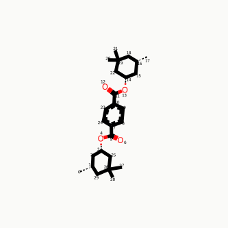 C[C@@H]1C[C@H](OC(=O)c2ccc(C(=O)O[C@H]3C[C@@H](C)CC(C)(C)C3)cc2)CC(C)(C)C1